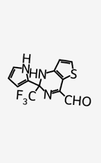 O=CC1=NC(c2ccc[nH]2)(C(F)(F)F)Nc2ccsc21